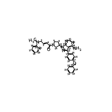 CN(C/C=C/C(=O)N1CCC(n2nc(-c3ccc(Oc4ccccc4)cc3)c3c(N)ncnc32)C1)c1ccccn1